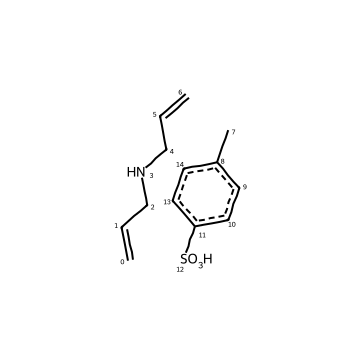 C=CCNCC=C.Cc1ccc(S(=O)(=O)O)cc1